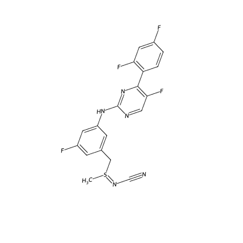 C/S(Cc1cc(F)cc(Nc2ncc(F)c(-c3ccc(F)cc3F)n2)c1)=N/C#N